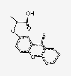 CC(Oc1ccc2oc3ccccc3c(=S)c2c1)C(=O)O